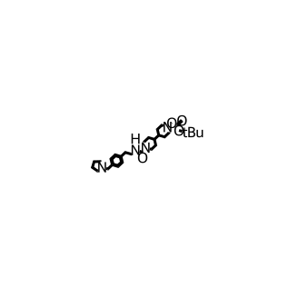 CC(C)(C)OC(=O)ON1CCC(C2CCN(C(=O)NCCc3ccc(CN4CCCC4)cc3)CC2)CC1